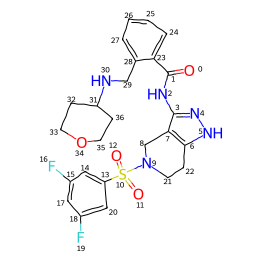 O=C(Nc1n[nH]c2c1CN(S(=O)(=O)c1cc(F)cc(F)c1)CC2)c1ccccc1CNC1CCOCC1